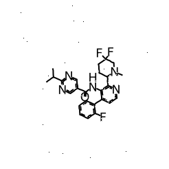 CC(C)c1ncc(C(=O)Nc2c(-c3ccccc3F)ccnc2C2CCC(F)(F)CN2C)cn1